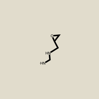 [NH]CNCC1CO1